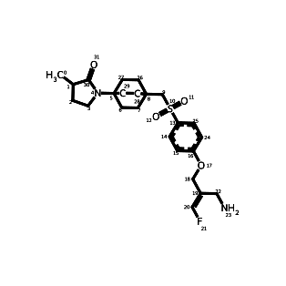 CC1CCN(C23CCC(CS(=O)(=O)c4ccc(OC/C(=C/F)CN)cc4)(CC2)CC3)C1=O